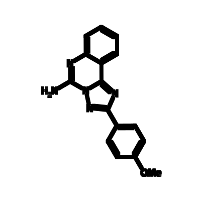 COc1ccc(-c2nc3c4ccccc4nc(N)n3n2)cc1